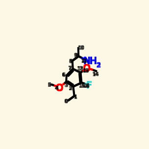 CCc1c(OC)cc(CC(C)N)c(OC)c1F